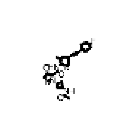 CC(=O)N[C@H]1C[C@H](n2ncc(Cl)c2C(=O)Nc2ncc(C#Cc3ccc(F)cc3)cc2C)C1